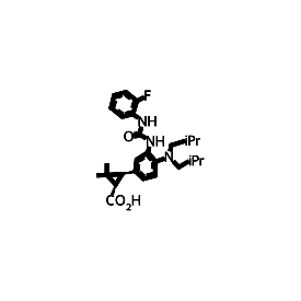 CC(C)CN(CC(C)C)c1ccc([C@H]2[C@@H](C(=O)O)C2(C)C)cc1NC(=O)Nc1ccccc1F